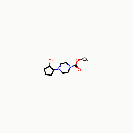 CC(C)(C)OC(=O)N1CCN(C2CCCC2O)CC1